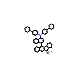 CC1(C)c2ccccc2-c2c1cc1ccccc1c2-c1ccc(N(c2ccc(-c3ccccc3)cc2)c2ccc(-c3ccccc3)cc2)c2ccccc12